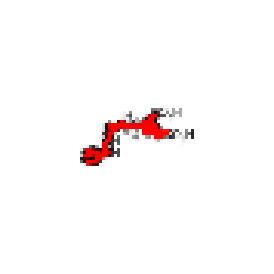 CN(CCCC(=O)NCCNC(=O)c1cccc(OCC(N=[N+]=[N-])OCCOCC(=O)NCC#Cc2cn([C@H]3CC(OCN=[N+]=[N-])[C@@H](COP(=O)(O)OP(=O)(O)OP(=O)(O)O)O3)c(=O)[nH]c2=O)c1)C(=O)c1ccccc1C1=c2cc3c(cc2Oc2cc4c(cc21)CCCN4CCCS(=O)(=O)O)=[N+](CCCS(=O)(=O)O)CCC3